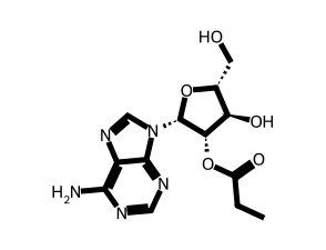 CCC(=O)O[C@H]1[C@H](O)[C@@H](CO)O[C@H]1n1cnc2c(N)ncnc21